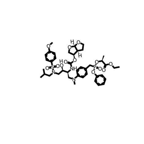 CCOC(=O)[C@H](C)OP(=O)(Cc1ccc(N(C)C[C@H](NC(=O)O[C@H]2CO[C@H]3OCC[C@H]32)[C@H](O)CN(CC(C)C)S(=O)(=O)c2ccc(OC)cc2)cc1)Oc1ccccc1